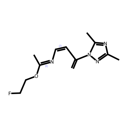 C=C(/C=C\N=C(/C)OCCF)n1nc(C)nc1C